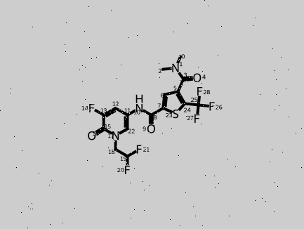 CN(C)C(=O)c1cc(C(=O)Nc2cc(F)c(=O)n(CC(F)F)c2)sc1C(F)(F)F